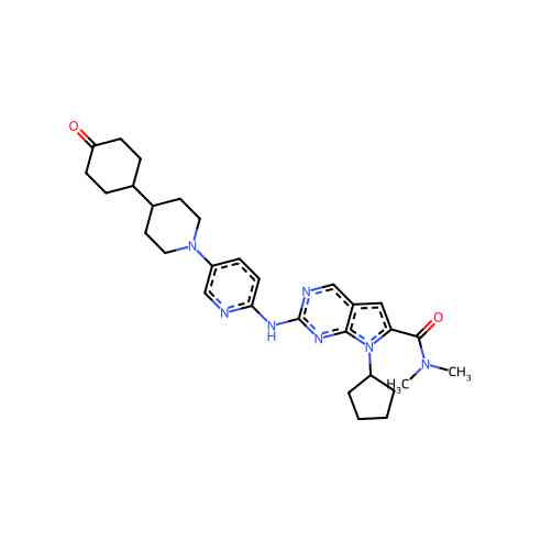 CN(C)C(=O)c1cc2cnc(Nc3ccc(N4CCC(C5CCC(=O)CC5)CC4)cn3)nc2n1C1CCCC1